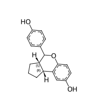 Oc1ccc(C2Oc3ccc(O)cc3[C@@H]3CCC[C@H]23)cc1